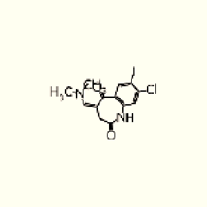 CN(C)/C=C1/CC(=O)Nc2cc(Cl)c(I)cc2C1=O